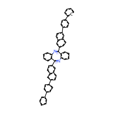 c1ccc(-c2ccc(-c3ccc4cc(/C5=N/c6ccccc6/C(c6ccc7cc(-c8ccc(-c9ccccc9)cc8)ccc7c6)=N\c6ccccc65)ccc4c3)cc2)cc1